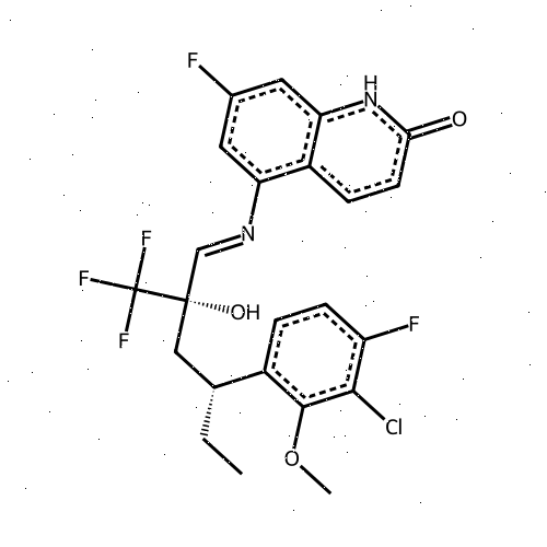 CC[C@H](C[C@](O)(C=Nc1cc(F)cc2[nH]c(=O)ccc12)C(F)(F)F)c1ccc(F)c(Cl)c1OC